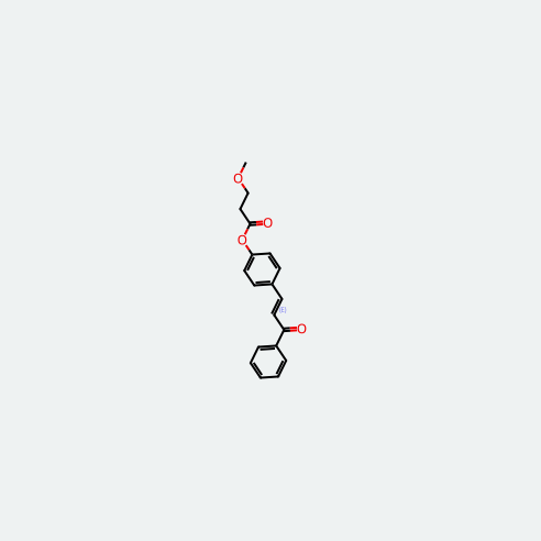 COCCC(=O)Oc1ccc(/C=C/C(=O)c2ccccc2)cc1